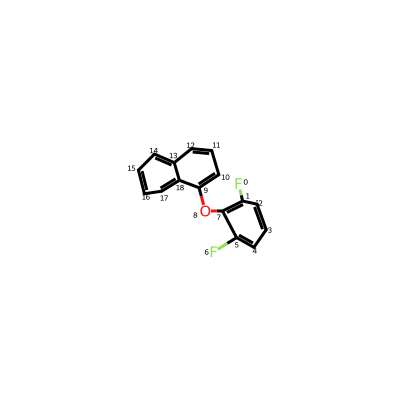 Fc1[c]ccc(F)c1Oc1cccc2ccccc12